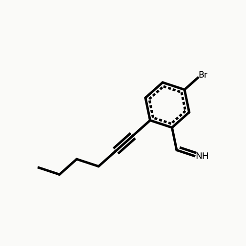 CCCCC#Cc1ccc(Br)cc1C=N